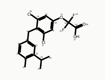 Cc1ccc(Cc2c(Cl)cc(OC(F)(F)C(=O)O)cc2Cl)cc1C(C)C